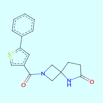 O=C1CCC2(CN(C(=O)c3csc(-c4ccccc4)c3)C2)N1